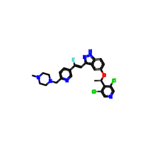 CC(Oc1ccc2[nH]nc(/C=C(\F)c3ccc(CN4CCN(C)CC4)nc3)c2c1)c1c(Cl)cncc1Cl